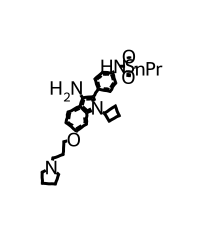 CCCS(=O)(=O)Nc1ccc(-c2c(N)c3ccc(OCCCN4CCCC4)cc3n2C2CCC2)cc1